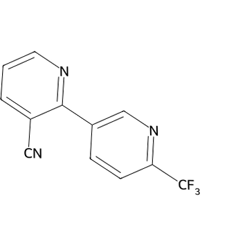 N#Cc1cccnc1-c1ccc(C(F)(F)F)nc1